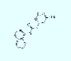 CCOC(CC(=O)C(C)(C)C)=NC(=O)Oc1cccc2ccccc12